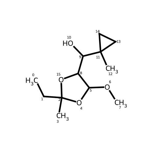 CCC1(C)OC(OC)C(C(O)C2(C)CC2)O1